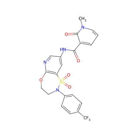 Cn1cccc(C(=O)Nc2cnc3c(c2)S(=O)(=O)N(c2ccc(C(F)(F)F)cc2)CCO3)c1=O